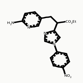 CCOC(=O)C(Cc1ccc(N)nc1)c1cn(-c2ccc([N+](=O)[O-])cc2)cn1